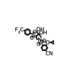 N#Cc1ccc(S(=O)(=O)N2C[C@H](S(=O)(=O)c3ccc(C(F)(F)F)cc3)[C@](O)(CO)C2)c(OC2CC2)c1